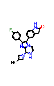 N#CC1CN(C2NC=Cn3c2nc(-c2ccc(F)cc2)c3-c2ccc3c(c2)CC(=O)N3)C1